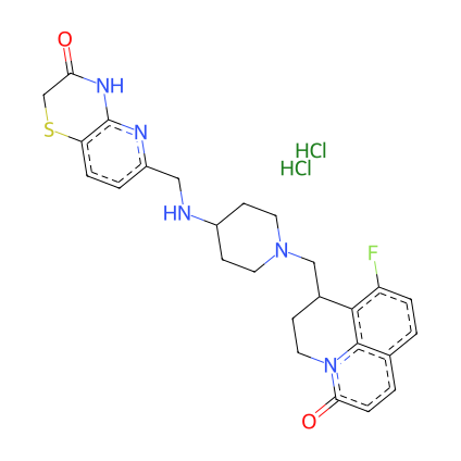 Cl.Cl.O=C1CSc2ccc(CNC3CCN(CC4CCn5c(=O)ccc6ccc(F)c4c65)CC3)nc2N1